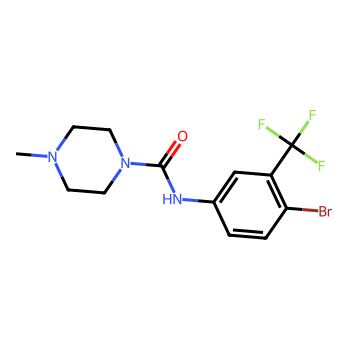 CN1CCN(C(=O)Nc2ccc(Br)c(C(F)(F)F)c2)CC1